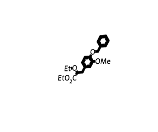 CCOC(=O)C(Cc1ccc(OCc2ccccc2)c(OC)c1)OCC